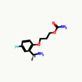 C[C@@H](N)c1cc(F)ccc1OCCCOC(N)=O